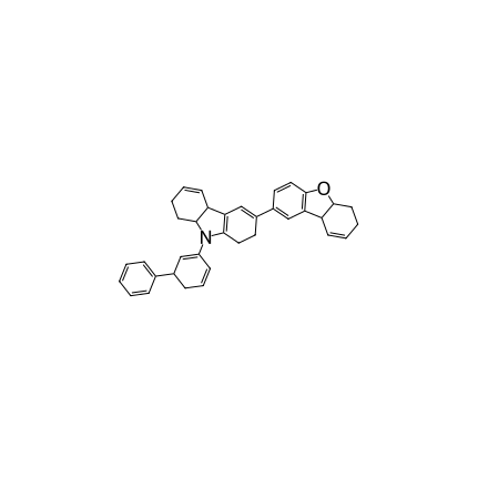 C1=CC2c3cc(C4=CC5=C(CC4)N(C4=CC(c6ccccc6)CC=C4)C4CCC=CC54)ccc3OC2CC1